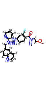 COCCNC(=O)c1ccc(N2NN(Cc3ccc4ncccc4c3)c3ncccc32)cc1F